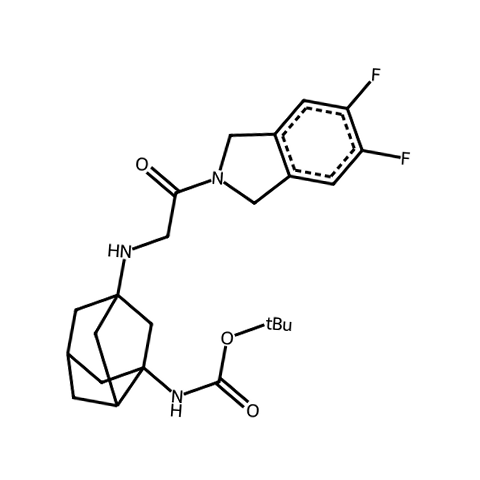 CC(C)(C)OC(=O)NC12CC3CC1CC(NCC(=O)N1Cc4cc(F)c(F)cc4C1)(C3)C2